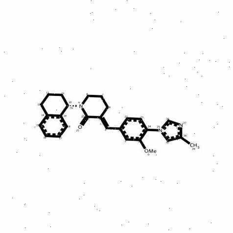 COc1cc(/C=C2\CCCN([C@H]3CCCc4ccccc43)C2=O)ccc1-n1cnc(C)c1